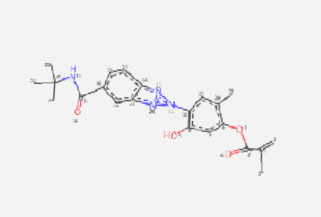 C=C(C)C(=O)Oc1cc(O)c(-n2n3c4ccc(C(=O)NC(C)(C)C)cc4n23)cc1C